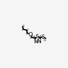 CCCCOCc1nnc(SC)s1